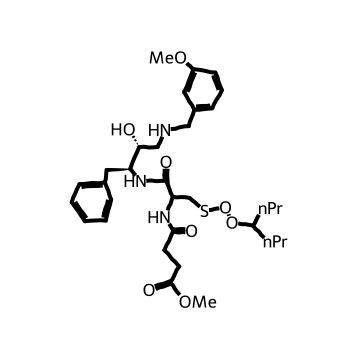 CCCC(CCC)OOSCC(NC(=O)CCC(=O)OC)C(=O)N[C@@H](Cc1ccccc1)[C@H](O)CNCc1cccc(OC)c1